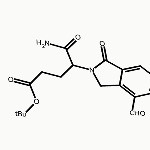 CC(C)(C)OC(=O)CCC(C(N)=O)N1Cc2c(C=O)cccc2C1=O